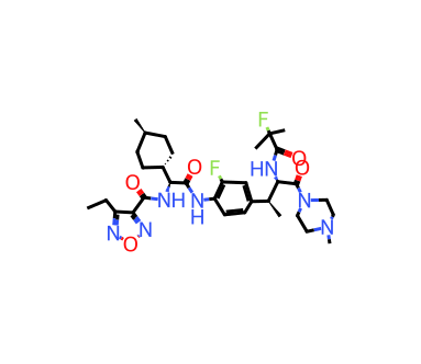 CCc1nonc1C(=O)N[C@H](C(=O)Nc1ccc([C@H](C)[C@@H](NC(=O)C(C)(C)F)C(=O)N2CCN(C)CC2)cc1F)[C@H]1CC[C@H](C)CC1